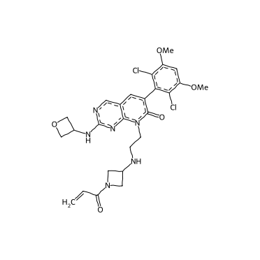 C=CC(=O)N1CC(NCCn2c(=O)c(-c3c(Cl)c(OC)cc(OC)c3Cl)cc3cnc(NC4COC4)nc32)C1